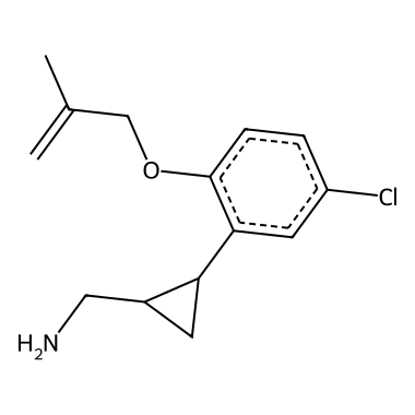 C=C(C)COc1ccc(Cl)cc1C1CC1CN